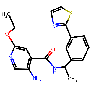 CCOc1cc(C(=O)NC(C)c2cccc(-c3nccs3)c2)c(N)cn1